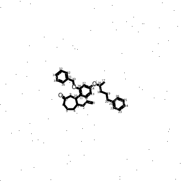 C=CCC1CCCC(=O)CC1c1ccc(OC(C)CCCc2ccccc2)cc1OCc1ccccc1